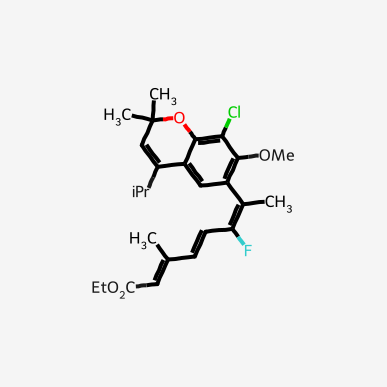 CCOC(=O)/C=C(C)/C=C/C(F)=C(/C)c1cc2c(c(Cl)c1OC)OC(C)(C)C=C2C(C)C